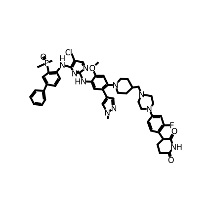 COc1cc(N2CCC(CN3CCN(c4ccc(C5CCC(=O)NC5=O)c(F)c4)CC3)CC2)c(-c2cnn(C)c2)cc1Nc1ncc(Cl)c(Nc2ccc(-c3ccccc3)cc2P(C)(C)=O)n1